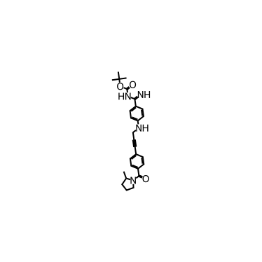 CC1CCCN1C(=O)c1ccc(C#CCNc2ccc(C(=N)NC(=O)OC(C)(C)C)cc2)cc1